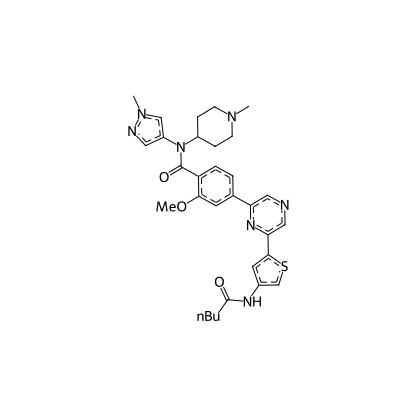 CCCCC(=O)Nc1csc(-c2cncc(-c3ccc(C(=O)N(c4cnn(C)c4)C4CCN(C)CC4)c(OC)c3)n2)c1